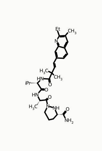 CCc1nc2cc(/C=C/C(C)(C)C(=O)N[C@H](C(=O)N[C@@H](C)C(=O)N3CCC[C@@H](C(N)=O)N3)C(C)C)ccc2cc1C